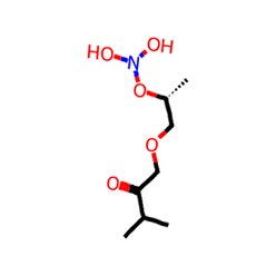 CC(C)C(=O)COC[C@@H](C)ON(O)O